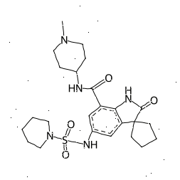 CN1CCC(NC(=O)c2cc(NS(=O)(=O)N3CCCCC3)cc3c2NC(=O)C32CCCC2)CC1